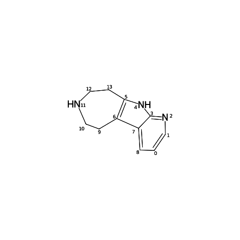 c1cnc2[nH]c3c(c2c1)CCNCC3